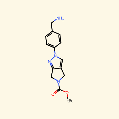 CC(C)(C)OC(=O)N1Cc2cn(-c3ccc(CN)cc3)nc2C1